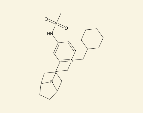 CS(=O)(=O)Nc1cccc(C2CC3CCC(C2)N3CCNCC2CCCCC2)c1